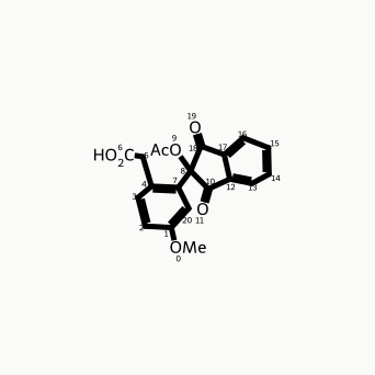 COc1ccc(CC(=O)O)c(C2(OC(C)=O)C(=O)c3ccccc3C2=O)c1